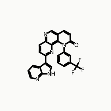 O=c1ccc2cnc3ccc(-c4c[nH]c5ncccc45)nc3c2n1-c1cccc(C(F)(F)F)c1